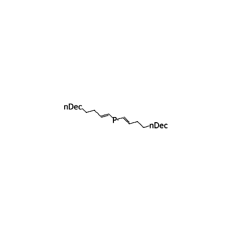 CCCCCCCCCCCCC=C[P]C=CCCCCCCCCCCCC